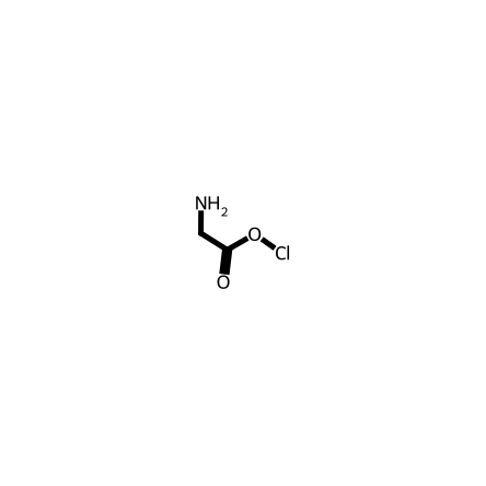 NCC(=O)OCl